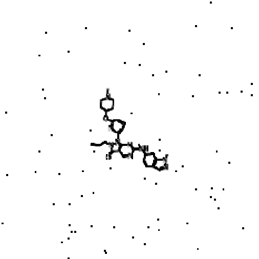 C=CCn1c(=O)c2cnc(Nc3ccc4cnn(C)c4c3)nc2n1-c1cccc(OC2CCN(C)CC2)n1